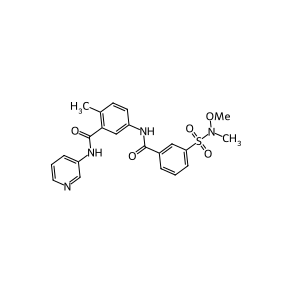 CON(C)S(=O)(=O)c1cccc(C(=O)Nc2ccc(C)c(C(=O)Nc3cccnc3)c2)c1